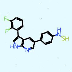 Fc1cccc(-c2c[nH]c3ncc(-c4ccc(NS)cc4)cc23)c1F